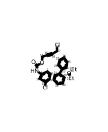 CCOCC.O=C(Nc1cccc(Cl)c1)OCC#CCCl.c1ccc(-c2ccccc2)cc1